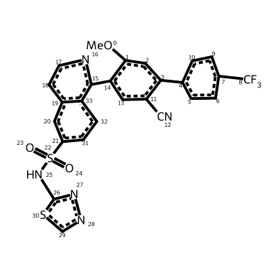 COc1cc(-c2ccc(C(F)(F)F)cc2)c(C#N)cc1-c1nccc2cc(S(=O)(=O)Nc3nncs3)ccc12